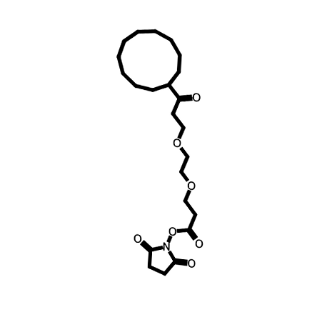 O=C(CCOCCOCCC(=O)C1CCCCCCCCCC1)ON1C(=O)CCC1=O